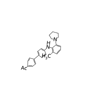 CC(=O)c1ccc(-c2ccc(Nc3c(C)cccc3N3CCCCC3)cc2)cc1